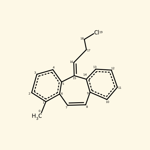 Cc1cccc2c1C=Cc1ccccc1C2=CCCCl